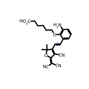 CC1(C)OC(=C(C#N)C#N)C(C#N)=C1/C=C/c1cccc(N)c1OCCCCCC(=O)O